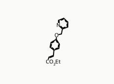 CCOC(=O)C=Cc1ccc(OCc2ccccn2)cc1